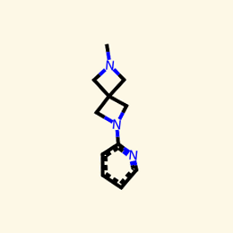 CN1CC2(C1)CN(c1ccccn1)C2